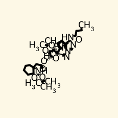 CCCC(=O)Nc1ncnn2c([C@]3(C#N)O[C@H](COC(=O)CC4(NC(=O)OC(C)(C)C)CCCCC4)[C@H]4OC(C)(C)O[C@H]43)ccc12